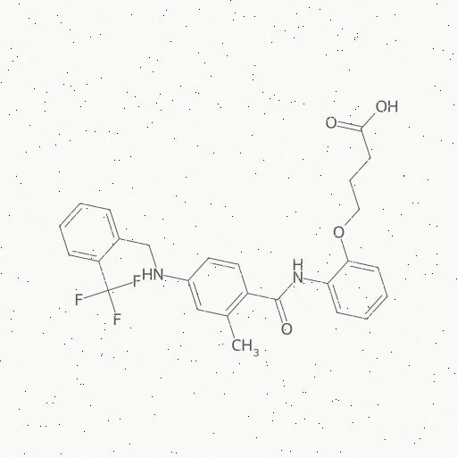 Cc1cc(NCc2ccccc2C(F)(F)F)ccc1C(=O)Nc1ccccc1OCCCC(=O)O